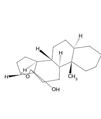 C[C@]12CCCC[C@@H]1CC[C@H]1[C@@H]3CC[C@@H]4COC(O)C43CC[C@@H]12